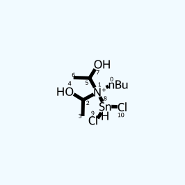 CCCC[N+](C(C)O)(C(C)O)[SnH]([Cl])[Cl]